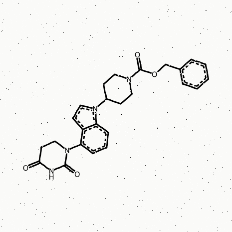 O=C1CCN(c2cccc3c2ccn3C2CCN(C(=O)OCc3ccccc3)CC2)C(=O)N1